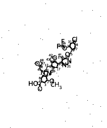 COc1cc(C(=O)O)cc2c1nc(Cc1c(F)cc(-c3ncnc(OCc4ccc(Cl)cc4OC(F)F)c3F)c3c1CCO3)n2C[C@@H]1CCO1